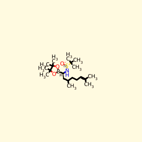 CC(C)=CCCC(C)C[C@H](N[S@+]([O-])C(C)(C)C)B1OC(C)(C)C(C)(C)O1